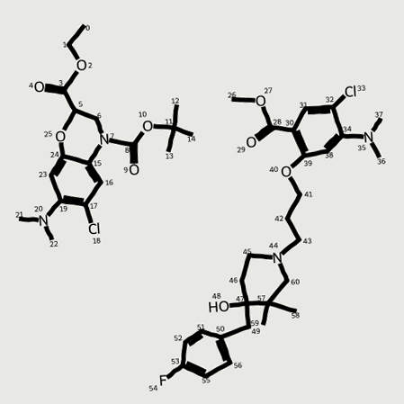 CCOC(=O)C1CN(C(=O)OC(C)(C)C)c2cc(Cl)c(N(C)C)cc2O1.COC(=O)c1cc(Cl)c(N(C)C)cc1OCCCN1CCC(O)(Cc2ccc(F)cc2)C(C)(C)C1